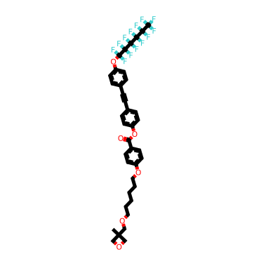 CC1(COCCCCCCOc2ccc(C(=O)Oc3ccc(C#Cc4ccc(OC(F)(F)C(F)(F)C(F)(F)C(F)(F)C(F)(F)C(F)(F)F)cc4)cc3)cc2)COC1